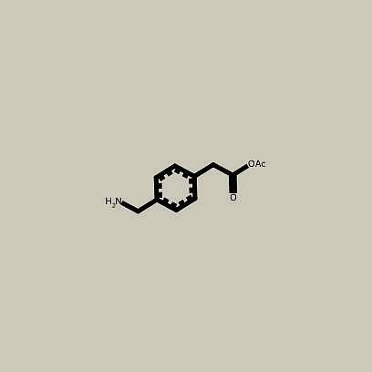 CC(=O)OC(=O)Cc1ccc(CN)cc1